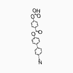 N#Cc1ccc(-c2ccc(OC(=O)c3ccc(OC(=O)O)cc3)cc2)cc1